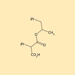 CC(C)CC(C)OC(=O)C(C(=O)O)C(C)C